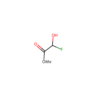 COC(=O)C(O)F